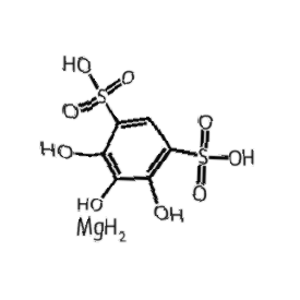 O=S(=O)(O)c1cc(S(=O)(=O)O)c(O)c(O)c1O.[MgH2]